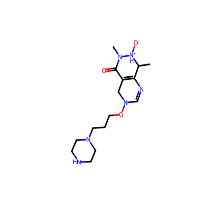 CC1C2=C(CN(OCCCN3CCNCC3)C=N2)C(=O)N(C)[NH+]1[O-]